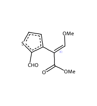 CO/C=C(/C(=O)OC)c1ccsc1C=O